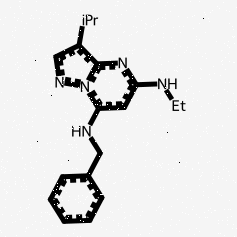 CCNc1cc(NCc2ccccc2)n2ncc(C(C)C)c2n1